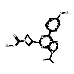 CC(C)(C)OC(=O)N1CC(c2nc(-c3ccc(OC(F)(F)F)cc3)c3ncn(C(F)F)c3n2)C1